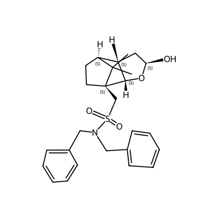 CC1(C)[C@H]2CC[C@@]1(CS(=O)(=O)N(Cc1ccccc1)Cc1ccccc1)[C@H]1O[C@H](O)C[C@@H]21